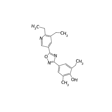 CCc1cc(-c2nc(-c3cc(C)c(O)c(CC)c3)no2)cnc1CC